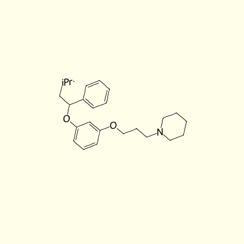 C[C](C)CC(Oc1cccc(OCCCN2CCCCC2)c1)c1ccccc1